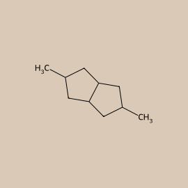 CC1CC2CC(C)CC2C1